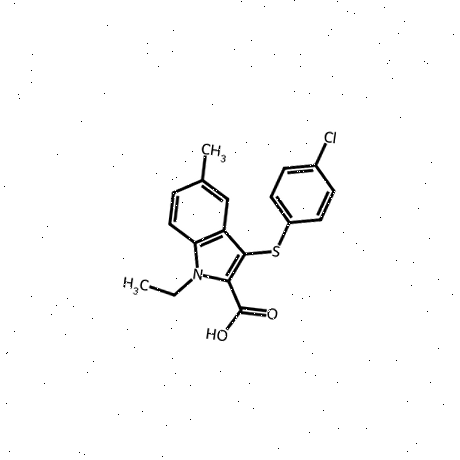 CCn1c(C(=O)O)c(Sc2ccc(Cl)cc2)c2cc(C)ccc21